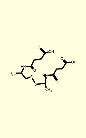 CC(CSSC(C)NC(=O)CCC(=O)O)NC(=O)CCC(=O)O